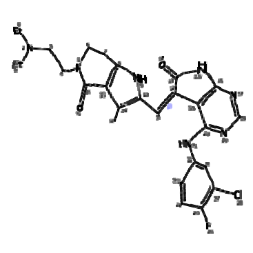 CCN(CC)CCN1CCc2[nH]c(/C=C3\C(=O)Nc4ncnc(Nc5ccc(F)c(Cl)c5)c43)c(C)c2C1=O